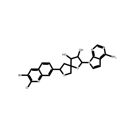 Nc1ncnc2c1ccn2C1OC2(CSC(c3ccc4cc(Br)c(Cl)nc4c3)C2)C(O)C1O